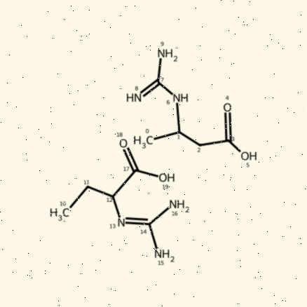 CC(CC(=O)O)NC(=N)N.CCC(N=C(N)N)C(=O)O